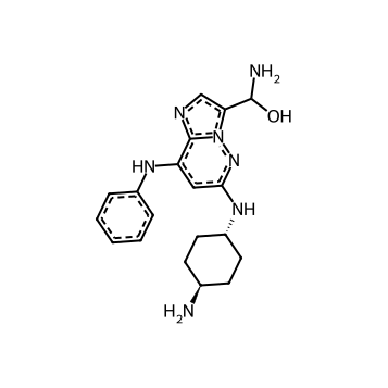 NC(O)c1cnc2c(Nc3ccccc3)cc(N[C@H]3CC[C@H](N)CC3)nn12